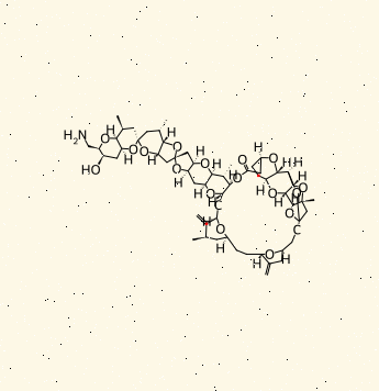 C=C1C[C@@H]2CC[C@@]34C[C@@]5(C)O[C@H]6[C@@H](O3)[C@H]3O[C@H](CC[C@@H]3O[C@H]6[C@H]5O4)CC(=O)O[C@@H]3[C@@H](C)[C@@H]4O[C@@H]5C[C@]6(C[C@@H]7O[C@]8(C[C@H](C)[C@@H]9O[C@H](CN)[C@H](O)C[C@@H]9O8)C[C@H](C)[C@@H]7O6)O[C@@H]5C[C@@H]4O[C@H]3C[C@H]3O[C@@H](CC[C@@H]1O2)C[C@@H](C)C3=C